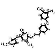 Cc1cc(Oc2ccc(CCSc3nc(=O)c(Cc4cnn(C)c4)cn3C)cc2)ccc1Cl